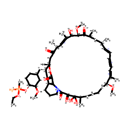 CCO[PH](C)(P)O[C@@H]1CCC(C[C@H]2C3CCCN4C(=O)C(=O)C(O)(O)C(C)CCCC[C@H](OC)/C(C)=C/C=C/C=C/[C@@H](C)CC(C)C(=O)[C@H](OC)C(O)/C(C)=C/[C@@H](C)C(=O)C[C@@H]2OC(=O)C34)CC1OC